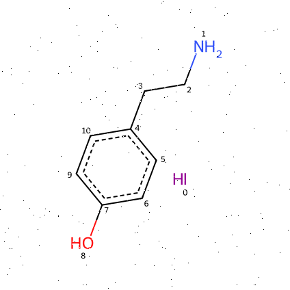 I.NCCc1ccc(O)cc1